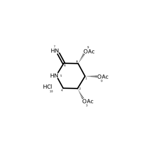 CC(=O)O[C@@H]1[C@H](OC(C)=O)CNC(=N)[C@@H]1OC(C)=O.Cl